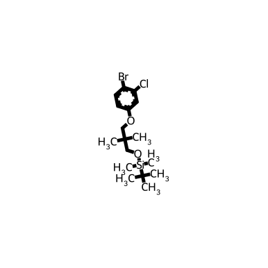 CC(C)(COc1ccc(Br)c(Cl)c1)CO[Si](C)(C)C(C)(C)C